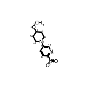 COC1CCN(c2ccc([N+](=O)[O-])nc2)CC1